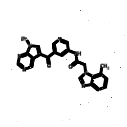 Cc1cccc2ncn(CC(=O)Nc3cncc(C(=O)c4cn(C(C)C)c5ncncc45)c3)c12